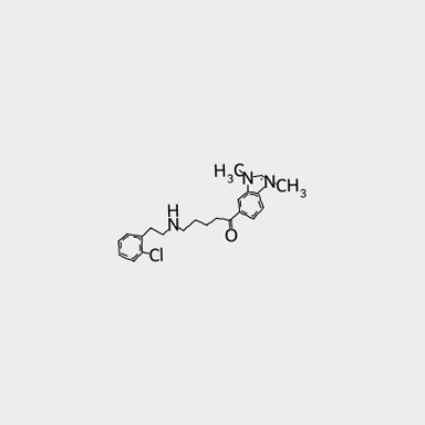 CN1[CH]N(C)c2cc(C(=O)CCCCNCCc3ccccc3Cl)ccc21